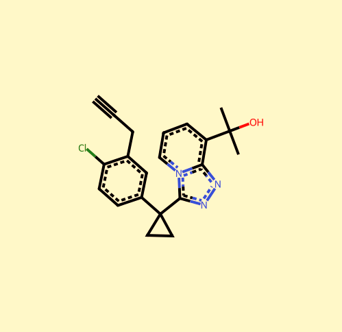 C#CCc1cc(C2(c3nnc4c(C(C)(C)O)cccn34)CC2)ccc1Cl